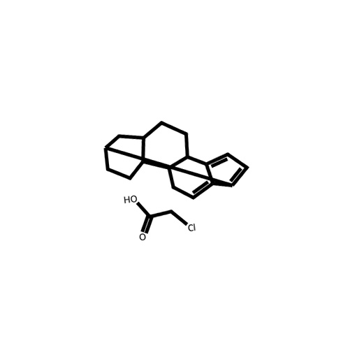 C1=C2C3=CC=C2C2CCC4CC3CCC4C2C1.O=C(O)CCl